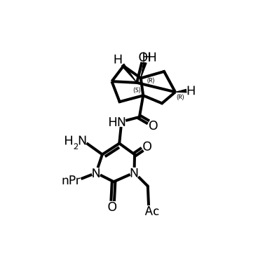 CCCn1c(N)c(NC(=O)C23CC4C[C@@H]2C[C@H](C3)[C@H]4O)c(=O)n(CC(C)=O)c1=O